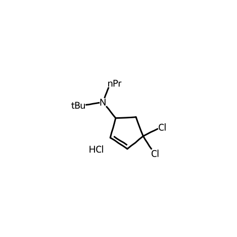 CCCN(C1C=CC(Cl)(Cl)C1)C(C)(C)C.Cl